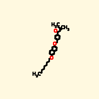 CCCCCCCCCOc1ccc2cc(OCc3ccc(C(=O)C[C@H](C)CC)cc3)ccc2c1